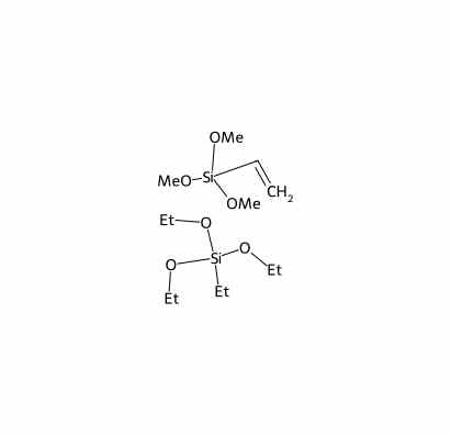 C=C[Si](OC)(OC)OC.CCO[Si](CC)(OCC)OCC